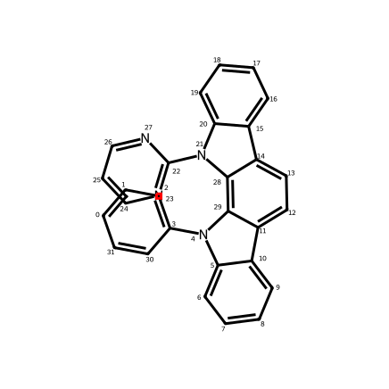 c1ccc(-n2c3ccccc3c3ccc4c5ccccc5n(-c5ncccn5)c4c32)cc1